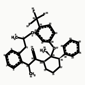 CC(C)Cc1ccccc1C(C)C(=O)N1CCC[C@@H](c2ccccc2)[C@]1(C)Oc1ccc(C(F)(F)F)cc1